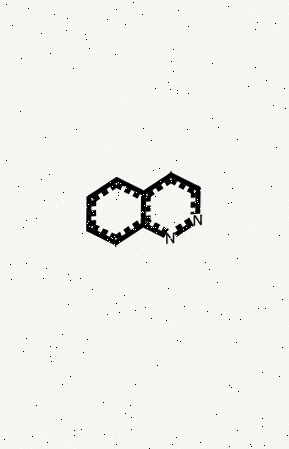 [c]1cnnc2[c]cccc12